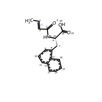 C/C=C/C(=O)N[C@@H](Cc1cccc2ccccc12)C(=O)O